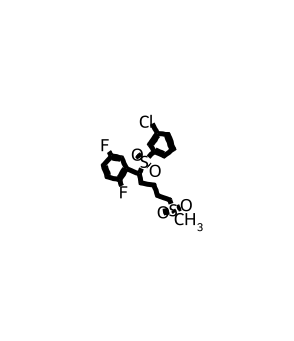 CS(=O)(=O)CCCCC(c1cc(F)ccc1F)S(=O)(=O)c1cccc(Cl)c1